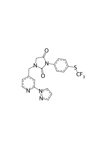 O=C1CN(Cc2ccnc(-n3cccn3)c2)C(=O)N1c1ccc(SC(F)(F)F)cc1